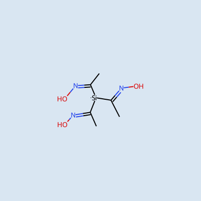 CC(=NO)[Si](C(C)=NO)C(C)=NO